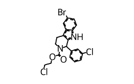 O=C(OCCCl)N1CCc2c([nH]c3ccc(Br)cc23)C1c1cccc(Cl)c1